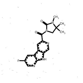 CN1C(=O)N(C(=O)c2cc3c(cn2)[nH]c2ncc(F)cc23)CC1(C)C